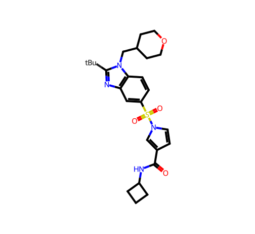 CC(C)(C)c1nc2cc(S(=O)(=O)n3ccc(C(=O)NC4CCC4)c3)ccc2n1CC1CCOCC1